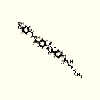 CCOCCNC(=O)Oc1ccc(C(=O)NS(=O)(=O)c2ccc(C(=O)NCCc3ccc(OC)cc3)cc2)cn1